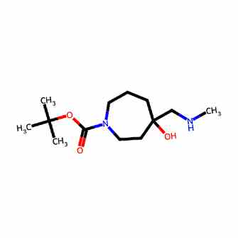 CNCC1(O)CCCN(C(=O)OC(C)(C)C)CC1